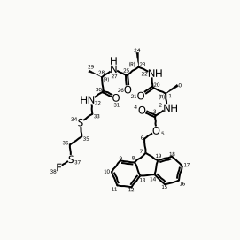 C[C@@H](NC(=O)OCC1c2ccccc2-c2ccccc21)C(=O)N[C@H](C)C(=O)N[C@H](C)C(=O)NCSCCSF